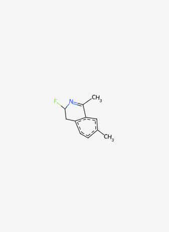 CC1=NC(F)Cc2ccc(C)cc21